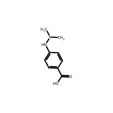 CN(C)Nc1ccc(C(=O)O)cc1